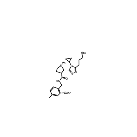 COc1cc(C)ccc1CNC(=O)[C@H]1CCN(C(C)=O)[C@@H]1c1nnc(CCCC(C)(C)C)n1C1CC1